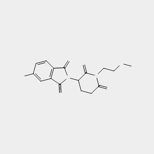 COCCN1C(=O)CCC(N2C(=O)c3ccc(F)cc3C2=O)C1=O